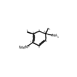 CNC1=C(C)CC(C)(N)C=C1